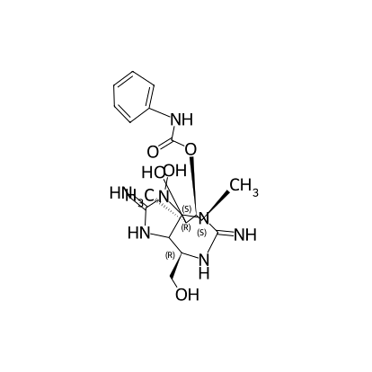 C[C@H]1[C@H](OC(=O)Nc2ccccc2)[C@](C)(O)C23C(NC(=N)N2O)[C@H](CO)NC(=N)N13